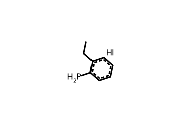 CCc1ccccc1P.I